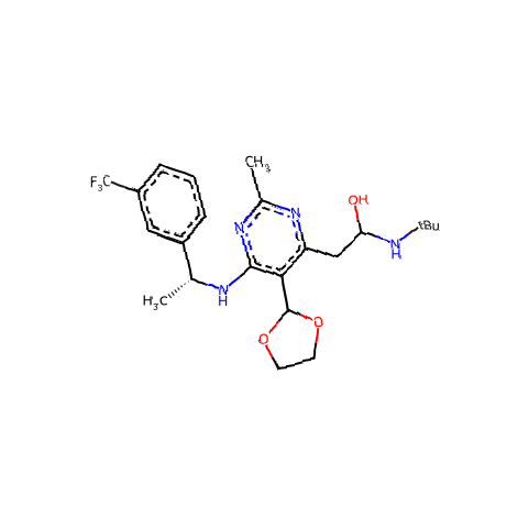 Cc1nc(CC(O)NC(C)(C)C)c(C2OCCO2)c(N[C@H](C)c2cccc(C(F)(F)F)c2)n1